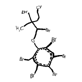 CC(Br)(CCl)C(Br)Oc1c(Br)c(Br)c(Br)c(Br)c1Br